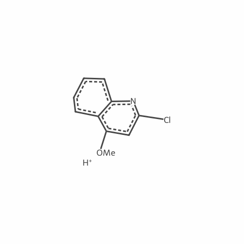 COc1cc(Cl)nc2ccccc12.[H+]